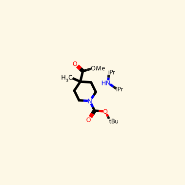 CC(C)NC(C)C.COC(=O)C1(C)CCN(C(=O)OC(C)(C)C)CC1